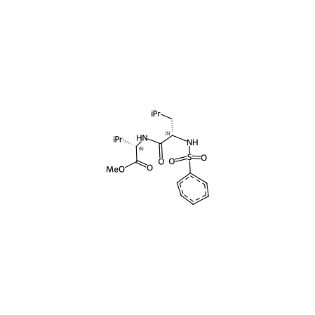 COC(=O)[C@@H](NC(=O)[C@H](CC(C)C)NS(=O)(=O)c1ccccc1)C(C)C